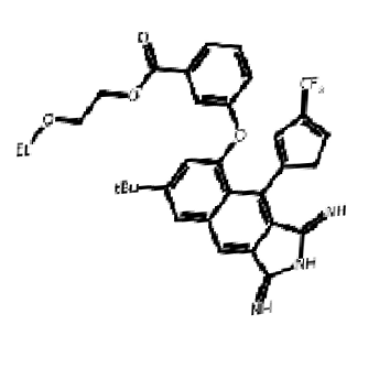 CCOCCOC(=O)c1cccc(Oc2cc(C(C)(C)C)cc3cc4c(c(C5=CC(C(F)(F)F)=CC5)c23)C(=N)NC4=N)c1